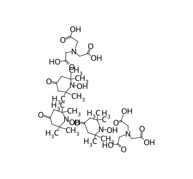 CC1(C)CC(=O)CC(C)(C)N1O.CC1(C)CC(=O)CC(C)(C)N1O.CC1(C)CC(=O)CC(C)(C)N1O.O=C(O)CN(CC(=O)O)CC(=O)O.O=C(O)CN(CC(=O)O)CC(=O)O